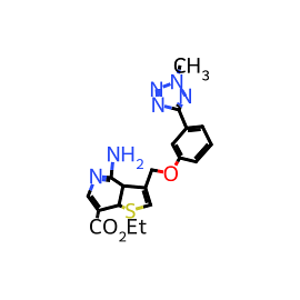 CCOC(=O)C1=CN=C(N)C2C(COc3cccc(-c4nnn(C)n4)c3)=CSC12